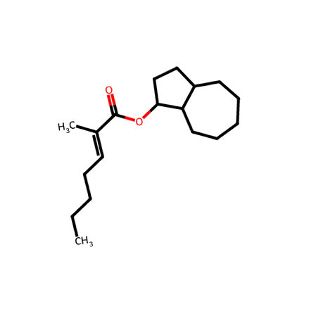 CCCCC=C(C)C(=O)OC1CCC2CCCCCC21